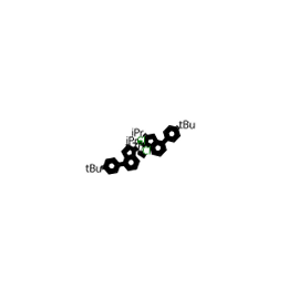 C[CH]=[Zr]([Cl])([Cl])([CH]1C(C(C)C)=Cc2c(-c3ccc(C(C)(C)C)cc3)cccc21)[CH]1C(C(C)C)=Cc2c(-c3ccc(C(C)(C)C)cc3)cccc21